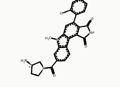 Cn1c2cc(C(=O)N3CC[C@@H](N)C3)ccc2c2c3c(c(-c4ccccc4Cl)cc21)C(=O)NC3=O